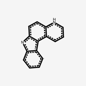 [c]1cccc2nc3ccc4[nH]cccc4c3c12